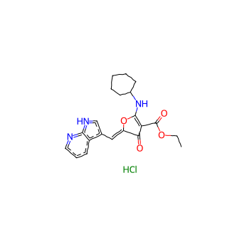 CCOC(=O)C1=C(NC2CCCCC2)O/C(=C\c2c[nH]c3ncccc23)C1=O.Cl